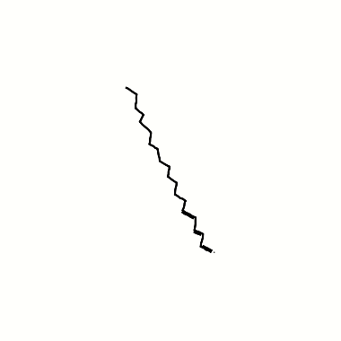 [CH]=CC=CC=CCCCCCCCCCCCCCC